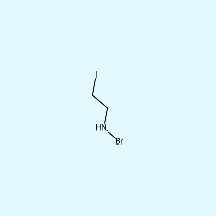 BrNCCI